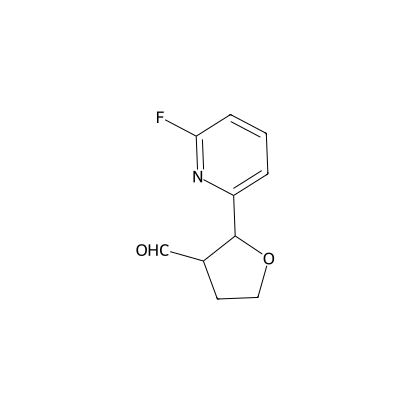 O=CC1CCOC1c1cccc(F)n1